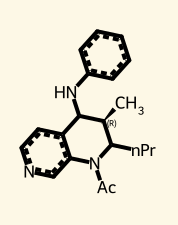 CCCC1[C@H](C)C(Nc2ccccc2)c2ccncc2N1C(C)=O